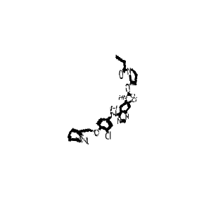 C=CC(=O)N1CCC[C@@H]1OC(=O)Nc1cc2c(Nc3ccc(OCc4ccccn4)c(Cl)c3)ncnc2cc1Cl